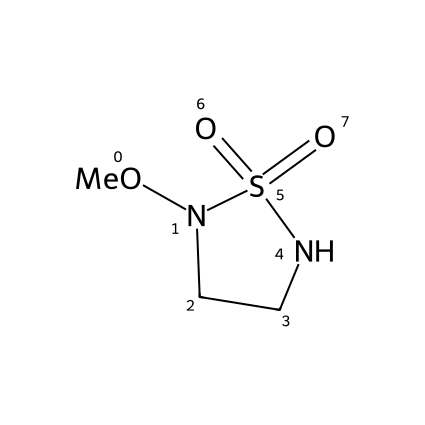 CON1CCNS1(=O)=O